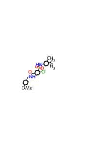 COc1ccc(CNC(=O)c2ccc(Cl)c(S(=O)(=O)Nc3ccc(C)c(C)c3)c2)cc1